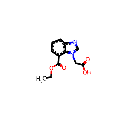 CCOC(=O)c1cccc2ncn(CC(=O)O)c12